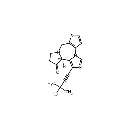 CC(C)(O)C#Cc1ncn2c1[C@H]1C(=O)CCN1Cc1sccc1-2